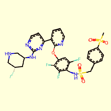 CS(=O)(=O)c1ccc(CS(=O)(=O)Nc2c(F)cc(Oc3ncccc3-c3ccnc(N[C@@H]4CNC[C@@H](F)C4)n3)c(F)c2F)cc1